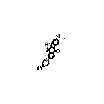 CC(C)N1CCN(c2ccc3c(c2)C(C)(C)c2[nH]c4cc(N)ccc4c2C3=O)CC1